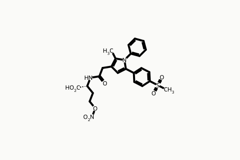 Cc1c(CC(=O)N[C@H](CCO[N+](=O)[O-])C(=O)O)cc(-c2ccc(S(C)(=O)=O)cc2)n1-c1ccccc1